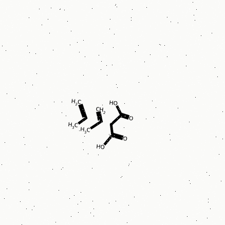 C=CC.C=CC.O=C(O)CC(=O)O